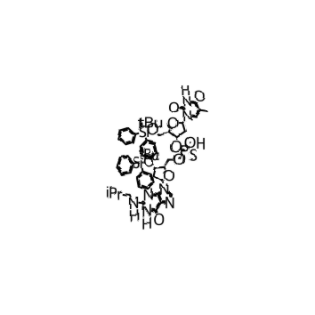 Cc1cn([C@H]2C[C@H](O[P@@](O)(=S)OC[C@H]3O[C@@H](n4cnc5c(=O)[nH]c(NCC(C)C)nc54)C[C@@H]3O[Si](c3ccccc3)(c3ccccc3)C(C)(C)C)[C@@H](CO[Si](c3ccccc3)(c3ccccc3)C(C)(C)C)O2)c(=O)[nH]c1=O